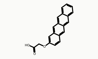 O=C(O)COc1ccc2cc3cc4ccccc4cc3cc2c1